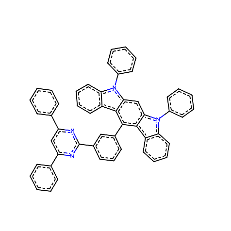 c1ccc(-c2cc(-c3ccccc3)nc(-c3cccc(-c4c5c6ccccc6n(-c6ccccc6)c5cc5c4c4ccccc4n5-c4ccccc4)c3)n2)cc1